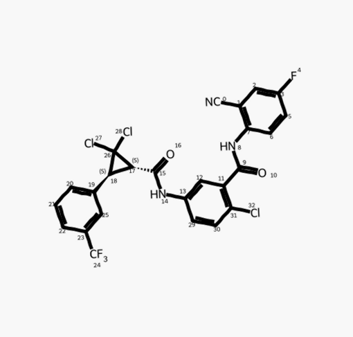 N#Cc1cc(F)ccc1NC(=O)c1cc(NC(=O)[C@@H]2[C@@H](c3cccc(C(F)(F)F)c3)C2(Cl)Cl)ccc1Cl